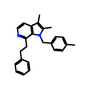 Cc1ccc(Cn2c(C)c(C)c3ccnc(CCc4ccccc4)c32)cc1